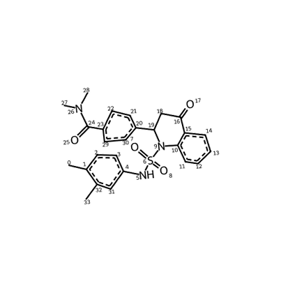 Cc1ccc(NS(=O)(=O)N2c3ccccc3C(=O)CC2c2ccc(C(=O)N(C)C)cc2)cc1C